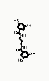 O=C(NCCCNC(=O)c1cc(S)cc(S)c1)c1cc(S)cc(S)c1